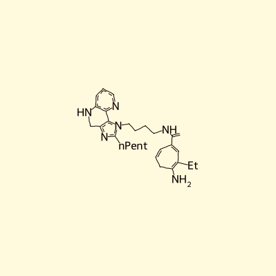 C=C(NCCCCn1c(CCCCC)nc2c1-c1ncccc1NC2)C1=CC(CC)=C(N)CC=C1